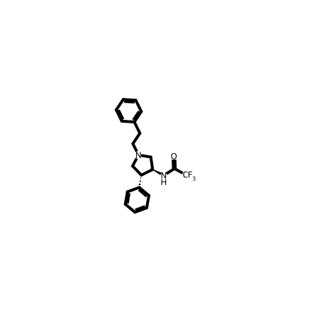 O=C(N[C@@H]1CN(CCc2ccccc2)C[C@H]1c1ccccc1)C(F)(F)F